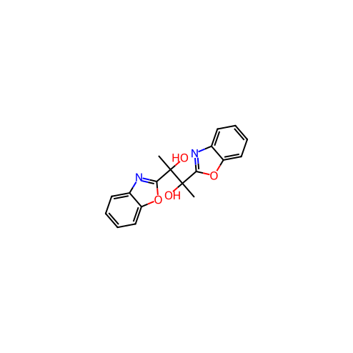 CC(O)(c1nc2ccccc2o1)C(C)(O)c1nc2ccccc2o1